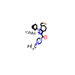 COc1ccccc1-n1nc(C(=O)N2CCN(C)CC2)c2c1-c1ccsc1CC2